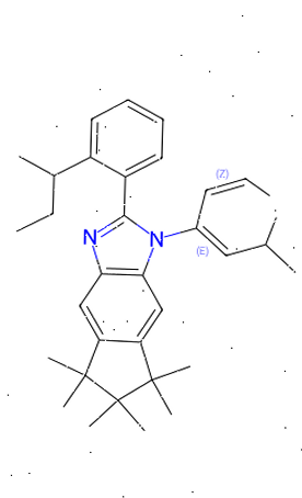 C/C=C\C(=C/C(C)C)n1c(-c2ccccc2C(C)CC)nc2cc3c(cc21)C(C)(C)C(C)(C)C3(C)C